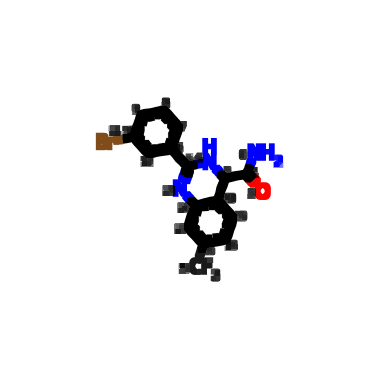 NC(=O)C1NC(c2cccc(Br)c2)=Nc2cc(C(F)(F)F)ccc21